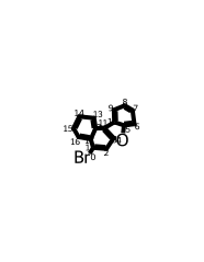 Brc1cc2oc3ccccc3c2c2ccccc12